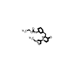 CCOC(=O)Nc1cccc(Cc2nn(-c3cnn(CC)c3)ccc2=O)c1